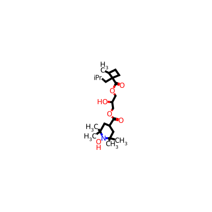 CC(C)CC1(C(=O)OCC(O)COC(=O)C2CC(C)(C)N(O)C(C)(C)C2)CCC1C